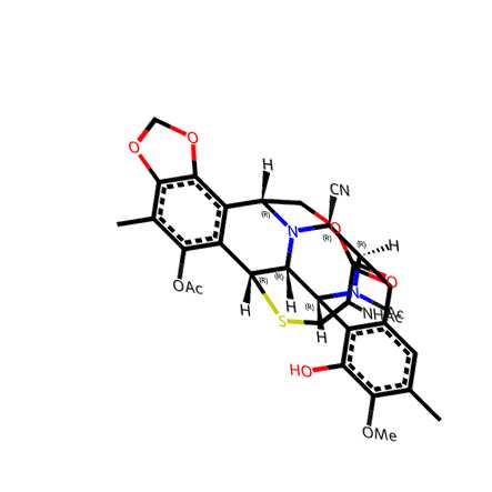 COc1c(C)cc2c(c1O)[C@@H]1[C@@H]3[C@@H]4SCC(NC(C)=O)C(=O)OC[C@@H](c5c6c(c(C)c(OC(C)=O)c54)OCO6)N3[C@@H](C#N)[C@@H](C2)N1C(C)=O